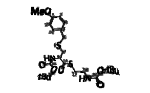 COc1ccc(CSCC(NC(=O)OC(C)(C)C)C(=O)SCCNC(=O)OC(C)(C)C)cc1